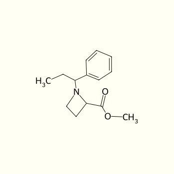 CCC(c1ccccc1)N1CCC1C(=O)OC